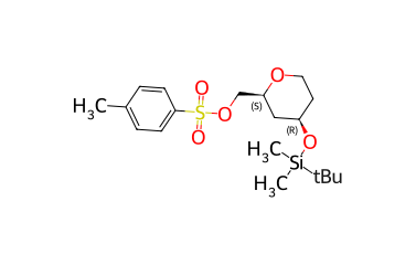 Cc1ccc(S(=O)(=O)OC[C@@H]2C[C@H](O[Si](C)(C)C(C)(C)C)CCO2)cc1